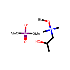 CCO[N+](C)(C)CC(C)O.COP(=O)([O-])OC